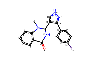 CN1c2ccccc2C(=O)NC1c1c[nH]nc1-c1ccc(I)cc1